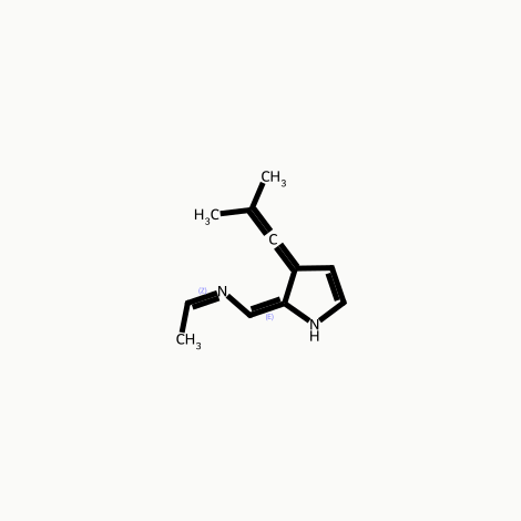 C/C=N\C=c1\[nH]ccc1=C=C(C)C